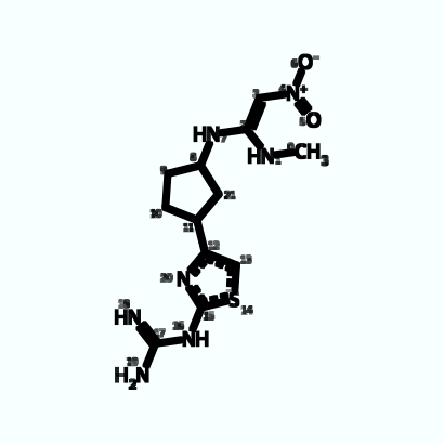 CNC(=C[N+](=O)[O-])NC1CCC(c2csc(NC(=N)N)n2)C1